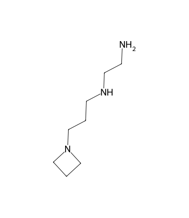 NCCNCCCN1CCC1